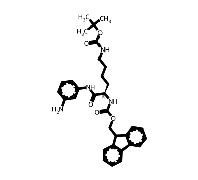 CC(C)(C)OC(=O)NCCCC[C@@H](NC(=O)OCC1c2ccccc2-c2ccccc21)C(=O)Nc1cccc(N)c1